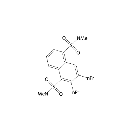 CCCc1cc2c(S(=O)(=O)NC)cccc2c(S(=O)(=O)NC)c1CCC